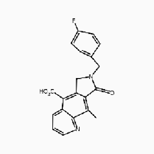 Cc1c2c(c(C(=O)O)c3cccnc13)CN(Cc1ccc(F)cc1)C2=O